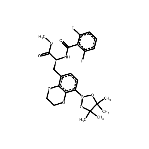 COC(=O)[C@H](Cc1ccc(B2OC(C)(C)C(C)(C)O2)c2c1OCCO2)NC(=O)c1c(F)cccc1F